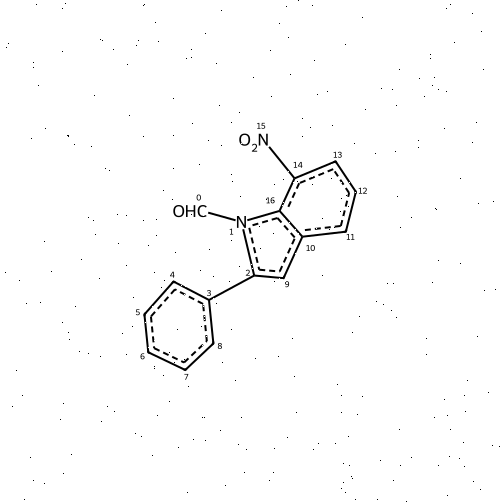 O=Cn1c(-c2ccccc2)cc2cccc([N+](=O)[O-])c21